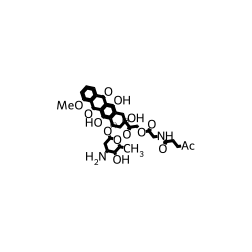 COc1cccc2c1C(=O)c1c(O)c3c(c(O)c1C2=O)C[C@@](O)(C(=O)COC(=O)CNC(=O)CCC(C)=O)C[C@@H]3OC1CC(N)C(O)C(C)O1